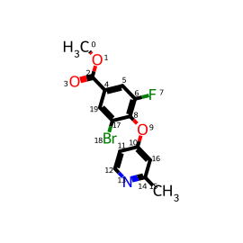 COC(=O)c1cc(F)c(Oc2ccnc(C)c2)c(Br)c1